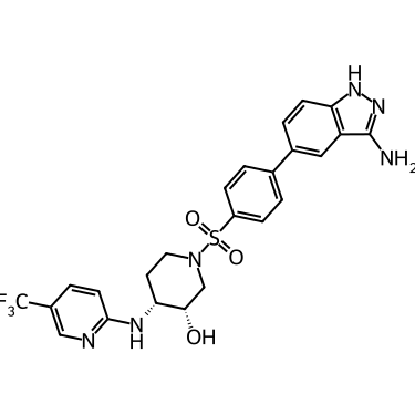 Nc1n[nH]c2ccc(-c3ccc(S(=O)(=O)N4CC[C@@H](Nc5ccc(C(F)(F)F)cn5)[C@@H](O)C4)cc3)cc12